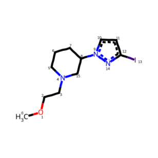 COCCN1CCCC(n2ccc(I)n2)C1